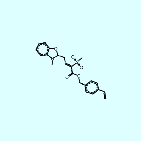 C=Cc1ccc(COC(=O)/C(=C/CC2Oc3ccccc3N2C)S(C)(=O)=O)cc1